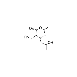 CC(C)CC1C(=O)O[C@@H](C)CN1CC(C)O